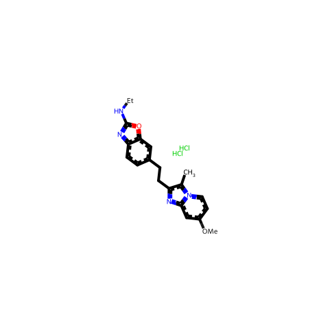 CCNc1nc2ccc(CCc3nc4cc(OC)ccn4c3C)cc2o1.Cl.Cl